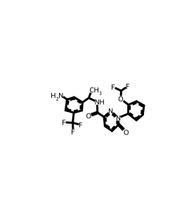 CC(NC(=O)c1ccc(=O)n(-c2ccccc2OC(F)F)n1)c1cc(N)cc(C(F)(F)F)c1